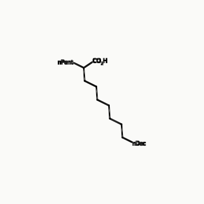 CCCCCCCCCCCCCCCCCC(CCCCC)C(=O)O